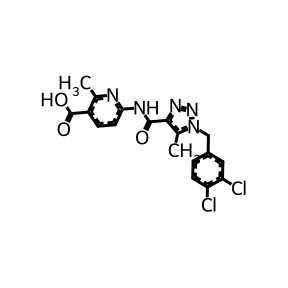 Cc1nc(NC(=O)c2nnn(Cc3ccc(Cl)c(Cl)c3)c2C)ccc1C(=O)O